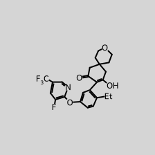 CCc1ccc(Oc2ncc(C(F)(F)F)cc2F)cc1C1=C(O)CC2(CCOCC2)CC1=O